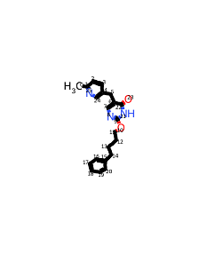 Cc1ccc(Cc2cnc(OCCCCc3ccccc3)[nH]c2=O)cn1